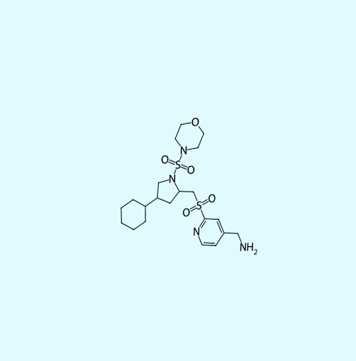 NCc1ccnc(S(=O)(=O)CC2CC(C3CCCCC3)CN2S(=O)(=O)N2CCOCC2)c1